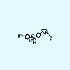 CC(C)c1ccc(S(=O)(=O)Nc2ccc(C34CC3CN(CCCF)C4)cc2)cc1